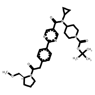 COC[C@@H]1CCCN1C(=O)Cc1ccc(-c2ncc(C(=O)N(C3CC3)C3CCN(C(=O)OC(C)(C)C)CC3)cn2)cc1